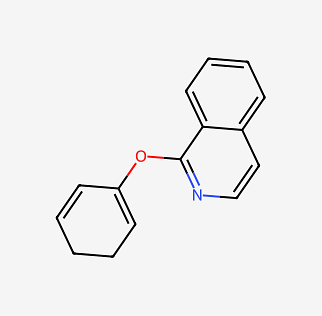 C1=CC(Oc2nccc3ccccc23)=CCC1